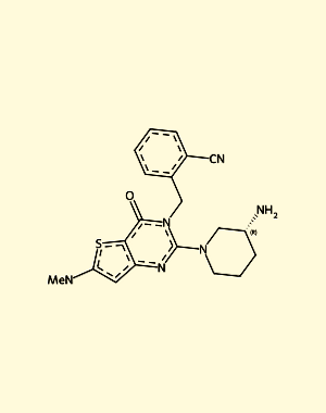 CNc1cc2nc(N3CCC[C@@H](N)C3)n(Cc3ccccc3C#N)c(=O)c2s1